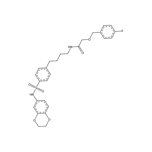 O=C(COCc1ccc(F)cc1)NCCCCc1ccc(S(=O)(=O)Nc2ccc3c(c2)OCCO3)cc1